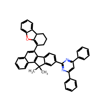 CC1(C)c2cc(-c3nc(-c4ccccc4)cc(-c4ccccc4)n3)ccc2-c2c(C3=C4Oc5ccccc5C4CCC3)cc3ccccc3c21